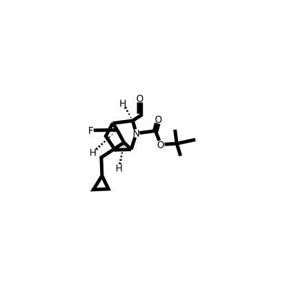 CC(C)(C)OC(=O)N1C2CCC([C@H]1C=O)[C@H](F)[C@@H]2CC1CC1